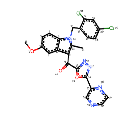 COc1ccc2c(c1)c(C(=O)c1nnc(-c3cnccn3)o1)c(C)n2Cc1ccc(Cl)cc1Cl